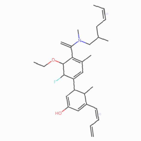 C=C/C=C\C1=CC(O)=CC(C2=CC(C)=C(C(=C)N(C)CC(C)C/C=C\C)C(OCC)C2F)C1C